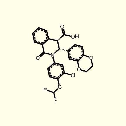 O=C(O)[C@@H]1c2ccccc2C(=O)N(c2ccc(OC(F)F)c(Cl)c2)[C@H]1c1ccc2c(c1)OCCO2